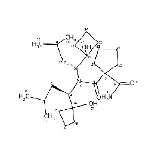 CC(C)C[C@@H](N(C(=O)C1(C(N)=O)CCCC1)[C@H](CC(C)C)C1(O)CCC1)C1(O)CCC1